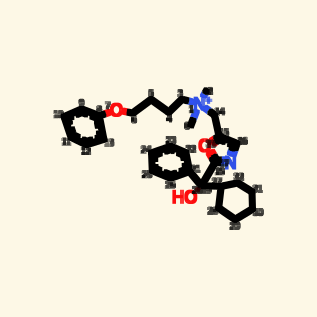 C[N+](C)(CCCCOc1ccccc1)Cc1cnc([C@](O)(c2ccccc2)C2CCCCC2)o1